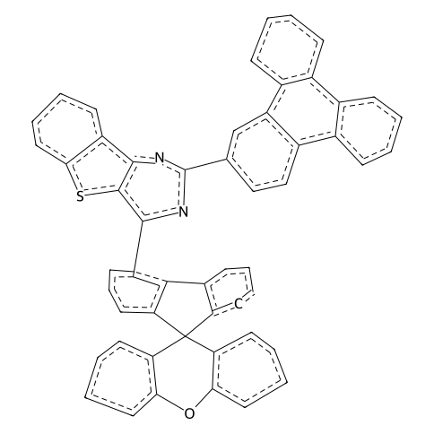 c1ccc2c(c1)Oc1ccccc1C21c2ccccc2-c2c(-c3nc(-c4ccc5c6ccccc6c6ccccc6c5c4)nc4c3sc3ccccc34)cccc21